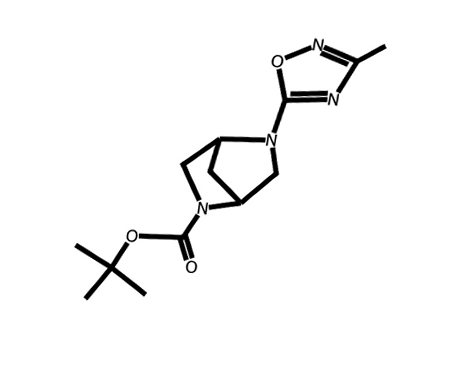 Cc1noc(N2CC3CC2CN3C(=O)OC(C)(C)C)n1